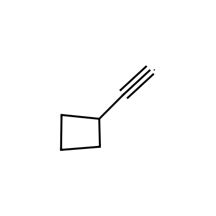 [C]#CC1CCC1